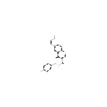 CN(Cc1ccc(Cl)cc1)C(=O)c1c[nH]c2ccc(/C=C\CO)cc2c1=O